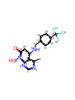 Cc1ncnc2c1c(NCc1ccc(C(F)(F)F)cc1)cc(=O)n2O